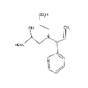 C=CC(c1ccccc1)N(CCS(=O)(=O)O)CC(O)CCCCCCCCCC